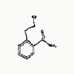 NC(=O)c1ccccc1[CH]CCl